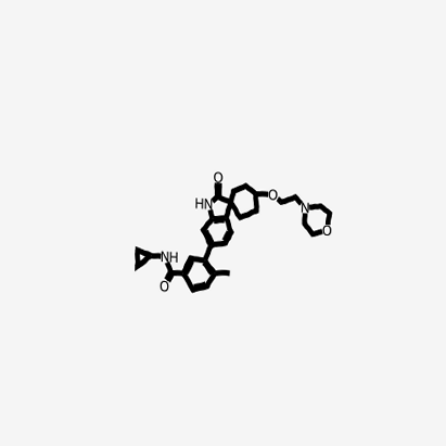 Cc1ccc(C(=O)NC2CC2)cc1-c1ccc2c(c1)NC(=O)C21CCC(OCCN2CCOCC2)CC1